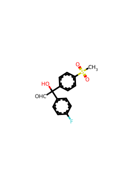 CS(=O)(=O)c1ccc(C(O)(C=O)c2ccc(F)cc2)cc1